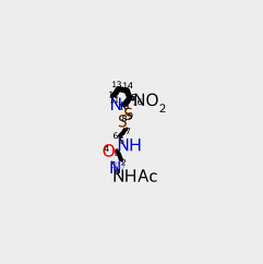 CC(=O)N/N=C/C(=O)NCCSSc1ncccc1[N+](=O)[O-]